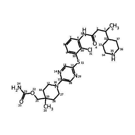 CC(CC(=O)Nc1cccc(Sc2cnc(N3CCC(C)(COC(N)=O)CC3)cn2)c1Cl)C1CCNCC1